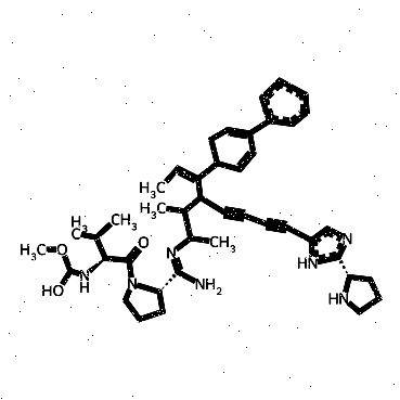 C/C=C(/C1C=CC(c2ccccc2)=CC1)C(C#CC#Cc1cnc([C@@H]2CCCN2)[nH]1)C(C)C(C)/N=C(\N)[C@@H]1CCCN1C(=O)[C@@H](NC(O)OC)C(C)C